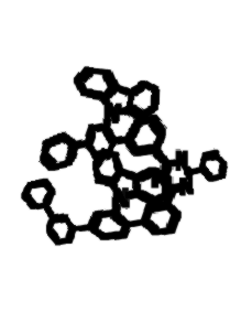 c1ccc(-c2cccc(-c3ccc(-c4cccc(-c5nc(-c6ccccc6)nc(-c6cccc(-c7ccc(-c8ccccc8)cc7-n7c8ccccc8c8ccccc87)c6)n5)c4)c(-n4c5ccccc5c5ccccc54)c3)c2)cc1